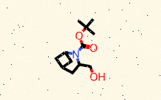 CC(C)(C)OC(=O)N1C(CO)CC2CC1C2